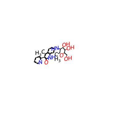 Cc1c(-c2ccccn2)c(=O)[nH]c2cc(NC3C(C)OC(CO)C(O)C3O)ccc12